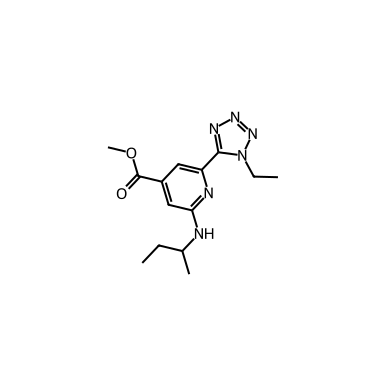 CCC(C)Nc1cc(C(=O)OC)cc(-c2nnnn2CC)n1